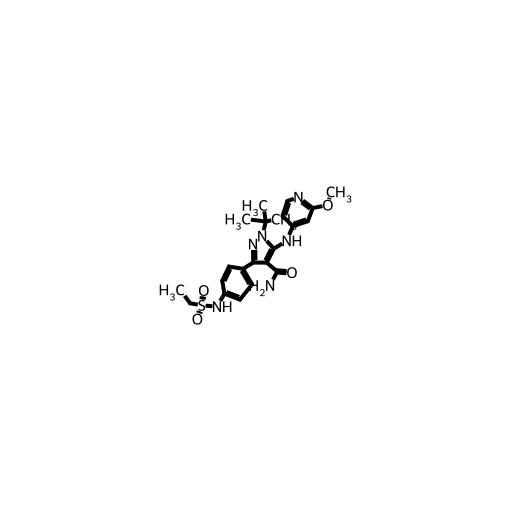 CCS(=O)(=O)Nc1ccc(-c2nn(C(C)(C)C)c(Nc3ccnc(OC)c3)c2C(N)=O)cc1